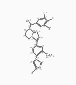 CCC(c1cc(F)c(F)c(F)c1)N1CCCn2c(-c3ccc(-n4cnc(C)c4)c(OC)c3)nnc21